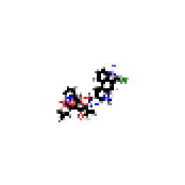 CC(C)C[C@H]1C(=O)N2CCC[C@H]2[C@]2(O)O[C@](NC(=O)[C@@H]3C=C4c5cccc6[nH]c(Br)c(c56)C[C@H]4N(C)C3)(C(C)C)C(=O)C12